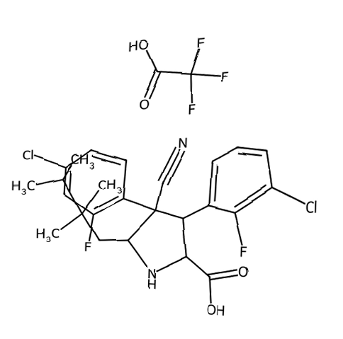 CC(C)C(C)(C)CC1NC(C(=O)O)C(c2cccc(Cl)c2F)C1(C#N)c1ccc(Cl)cc1F.O=C(O)C(F)(F)F